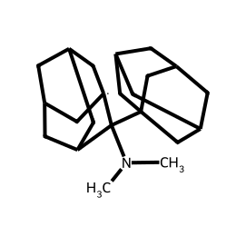 CN(C)C1(C23CC4CC(CC(C4)C2)C3)[C]2CC3CC(C2)CC1C3